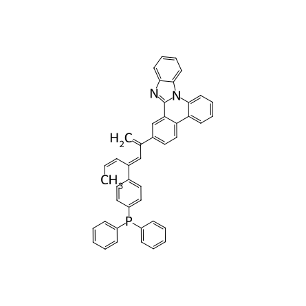 C=C(/C=C(\C=C/C)c1ccc(P(c2ccccc2)c2ccccc2)cc1)c1ccc2c3ccccc3n3c4ccccc4nc3c2c1